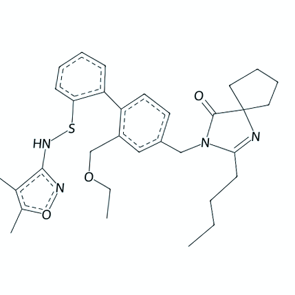 CCCCC1=NC2(CCCC2)C(=O)N1Cc1ccc(-c2ccccc2SNc2noc(C)c2C)c(COCC)c1